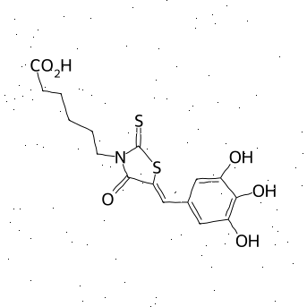 O=C(O)CCCCCN1C(=O)C(=Cc2cc(O)c(O)c(O)c2)SC1=S